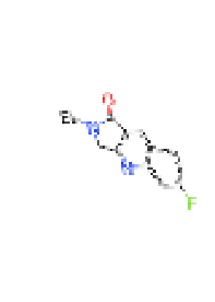 CCN1Cc2nc3cc(F)ccc3cc2C1=O